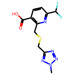 Cn1nnc(CSCc2nc(C(F)F)ccc2C(=O)O)n1